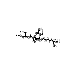 NC1=Nc2c(ncn2COC(CO)CO)C(OCCCCCC(S)S)N1